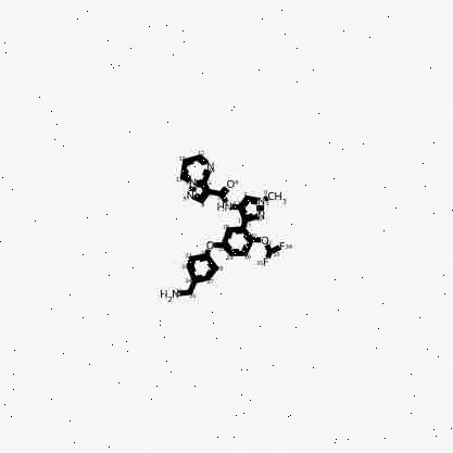 Cn1cc(NC(=O)c2cnn3cccnc23)c(-c2cc(Oc3ccc(CN)cc3)ccc2OC(F)F)n1